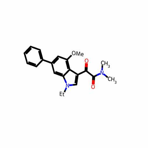 CCn1cc(C(=O)C(=O)N(C)C)c2c(OC)cc(-c3ccccc3)cc21